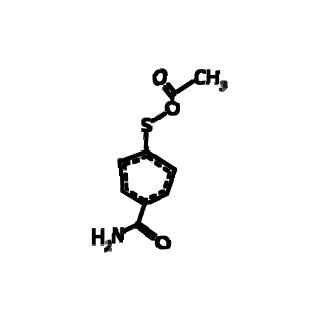 CC(=O)OSc1ccc(C(N)=O)cc1